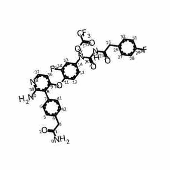 NC(=O)Cc1ccc(-c2c(Oc3ccc(N(OC(=O)C(F)(F)F)C(=O)NC(=O)Cc4ccc(F)cc4)cc3F)ccnc2N)cc1